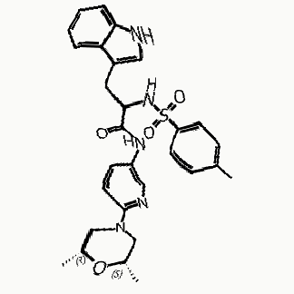 Cc1ccc(S(=O)(=O)NC(Cc2c[nH]c3ccccc23)C(=O)Nc2ccc(N3C[C@@H](C)O[C@@H](C)C3)nc2)cc1